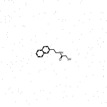 O=C(CS)NCCc1ccc2ccccc2c1